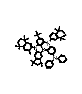 Cc1cc2c(cc1N1c3cc4c(cc3B3c5cc(N(c6ccccc6)c6ccccc6)ccc5N(c5ccc6c(c5)C(C)(C)CCC6(C)C)c5cc(C(C)(C)C)cc1c53)C(C)(C)CC4(C)C)C(C)(C)CCC2(C)C